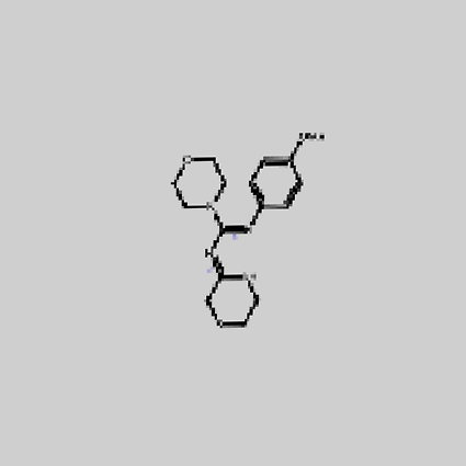 COc1ccc(/N=C(/N=C2/CSCCN2)N2CCOCC2)cc1